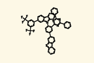 FC(F)(F)c1cc(-c2ccc3c4ccccc4n(-c4ccc(-c5ccc6c(c5)sc5ccccc56)cc4-c4nc(-c5ccccc5)nc(-c5ccccc5)n4)c3c2)cc(C(F)(F)F)c1